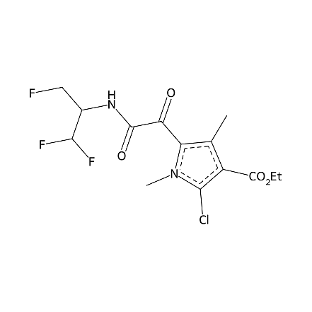 CCOC(=O)c1c(C)c(C(=O)C(=O)NC(CF)C(F)F)n(C)c1Cl